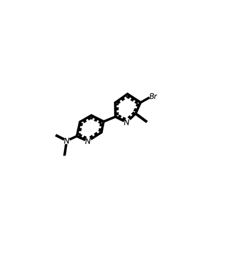 Cc1nc(-c2ccc(N(C)C)nc2)ccc1Br